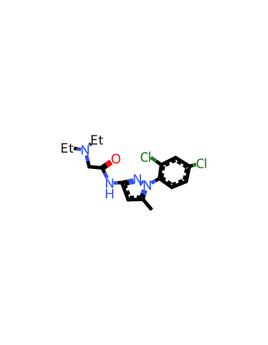 CCN(CC)CC(=O)Nc1cc(C)n(-c2ccc(Cl)cc2Cl)n1